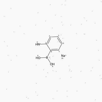 [NH-]c1ccccc1B(O)O.[Na+]